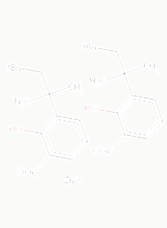 CC(C)(C)CC(C)(C)c1cccc(C(=O)[O-])c1O.CC(C)(C)CC(C)(C)c1cccc(C(=O)[O-])c1O.[Zn+2]